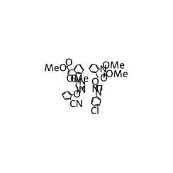 CO/C=C(/C(=O)OC)c1ccccc1Oc1cc(Oc2ccccc2C#N)ncn1.COC(=O)N(OC)c1ccccc1COc1ccn(-c2ccc(Cl)cc2)n1